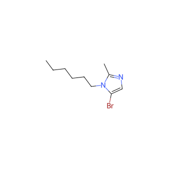 CCCCCCn1c(Br)cnc1C